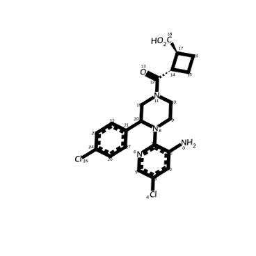 Nc1cc(Cl)cnc1N1CCN(C(=O)[C@H]2CC[C@@H]2C(=O)O)CC1c1ccc(Cl)cc1